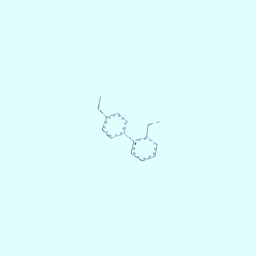 CCc1ccc(-c2ccccc2CC)cc1